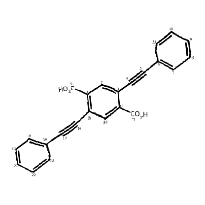 O=C(O)c1cc(C#Cc2ccccc2)c(C(=O)O)cc1C#Cc1ccccc1